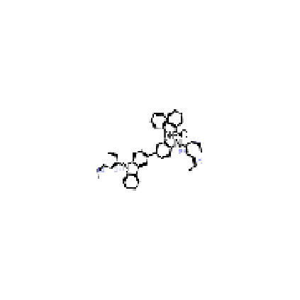 C=C/C(=C\C=C/C)n1c2ccccc2c2cc(-c3ccc4c(c3)N(c3ccccc3)P(=O)(c3ccccc3)N4C(/C=C\C)=C/C=C\C)ccc21